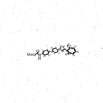 COC(=O)Nc1ccc(-c2ccc(C3CCC(c4c(F)cccc4F)=N3)cc2)cc1